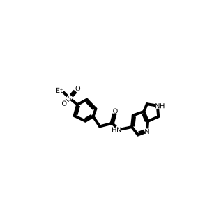 CCS(=O)(=O)c1ccc(CC(=O)Nc2cnc3c(c2)CNC3)cc1